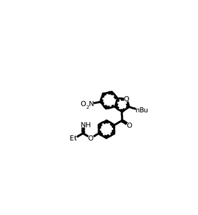 CCCCc1oc2ccc([N+](=O)[O-])cc2c1C(=O)c1ccc(OC(=N)CC)cc1